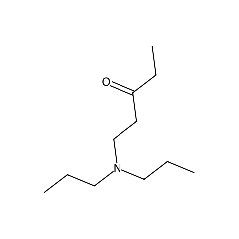 CCCN(CCC)CCC(=O)CC